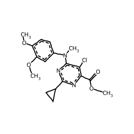 COC(=O)c1nc(C2CC2)nc(N(C)c2ccc(OC)c(OC)c2)c1Cl